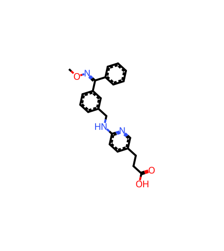 CO/N=C(/c1ccccc1)c1cccc(CNc2ccc(CCC(=O)O)cn2)c1